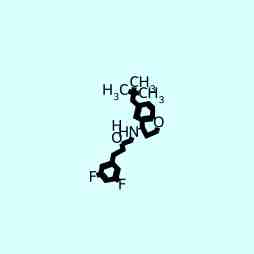 CC(C)(C)Cc1ccc2c(c1)[C@@H](NCC(O)CCc1cc(F)cc(F)c1)CCO2